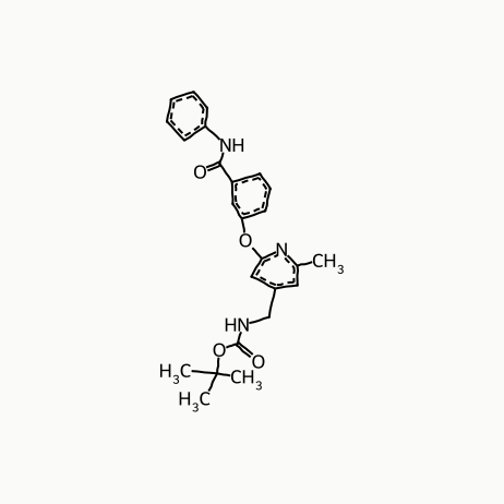 Cc1cc(CNC(=O)OC(C)(C)C)cc(Oc2cccc(C(=O)Nc3ccccc3)c2)n1